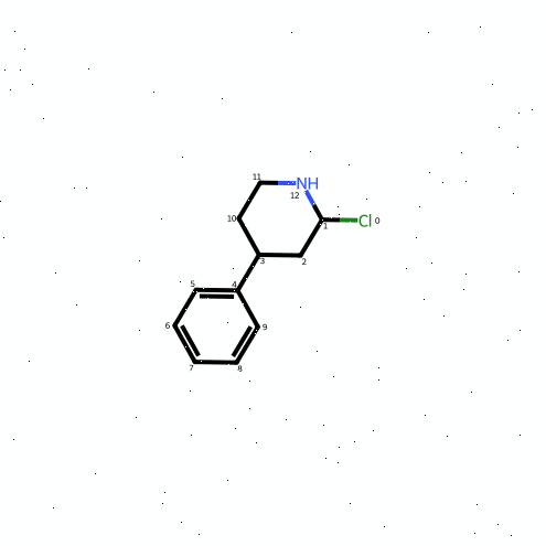 ClC1C[C](c2ccccc2)CCN1